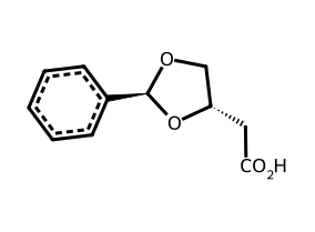 O=C(O)C[C@H]1CO[C@H](c2ccccc2)O1